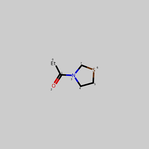 CCC(=O)N1CCSC1